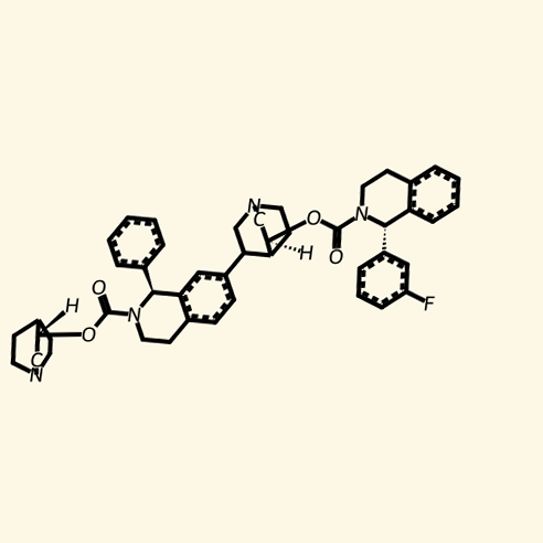 O=C(O[C@@H]1CN2CCC1CC2)N1CCc2ccc(C3CN4CCC3[C@H](OC(=O)N3CCc5ccccc5[C@@H]3c3cccc(F)c3)C4)cc2[C@@H]1c1ccccc1